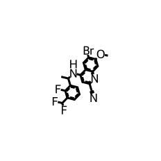 COc1cc2nc(C#N)cc(NC(C)c3cccc(C(F)F)c3F)c2cc1Br